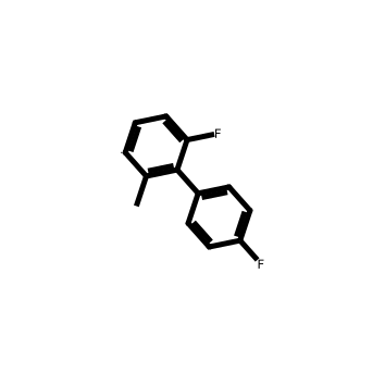 Cc1[c]ccc(F)c1-c1ccc(F)cc1